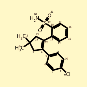 CC1(C)CC(c2ccc(Cl)cc2)=C(c2ccccc2S(N)(=O)=O)C1